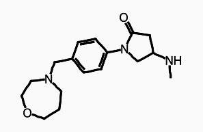 CNC1CC(=O)N(c2ccc(CN3CCCOCC3)cc2)C1